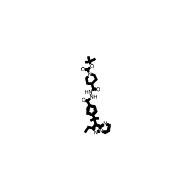 CCc1nn2cccnc2c1C(C)(C)c1ccc(C(=O)NNC(=O)C2CCN(C(=O)OC(C)(C)C)CC2)cc1